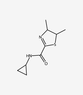 CC1N=C(C(=O)NC2CC2)SC1C